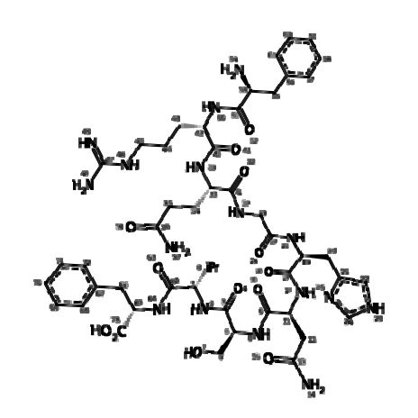 CC(C)[C@H](NC(=O)[C@H](CO)NC(=O)[C@H](CC(N)=O)NC(=O)[C@H](Cc1c[nH]cn1)NC(=O)CNC(=O)[C@H](CCC(N)=O)NC(=O)[C@H](CCCNC(=N)N)NC(=O)[C@@H](N)Cc1ccccc1)C(=O)N[C@@H](Cc1ccccc1)C(=O)O